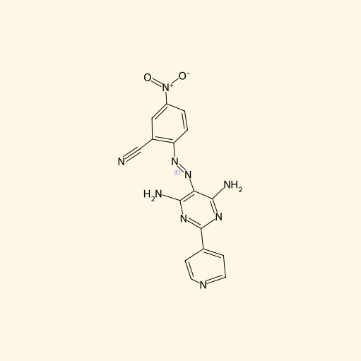 N#Cc1cc([N+](=O)[O-])ccc1/N=N/c1c(N)nc(-c2ccncc2)nc1N